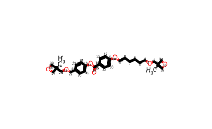 CC1(COCCCCCCOc2ccc(C(=O)Oc3ccc(COCC4(C)COC4)cc3)cc2)COC1